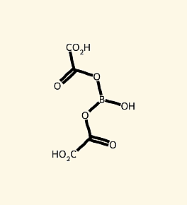 O=C(O)C(=O)OB(O)OC(=O)C(=O)O